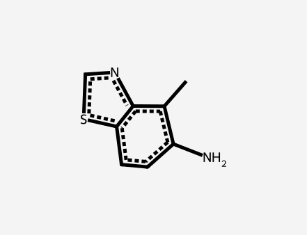 Cc1c(N)ccc2scnc12